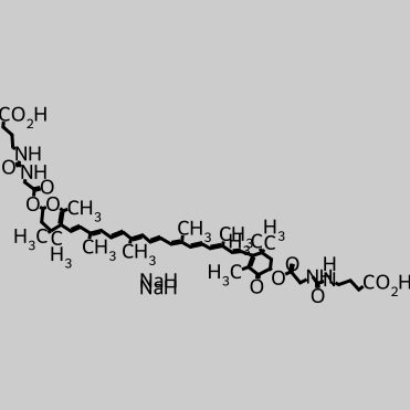 CC1=C(/C=C/C(C)=C/C=C/C(C)=C/C=C/C=C(C)/C=C/C=C(C)/C=C/C2=C(C)C(=O)C(OC(=O)CNC(=O)NCCCC(=O)O)CC2(C)C)C(C)(C)CC(OC(=O)CNC(=O)NCCCC(=O)O)O1.[NaH].[NaH]